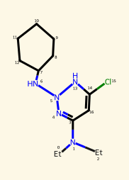 CCN(CC)C1=NN(NC2CCCCC2)NC(Cl)=C1